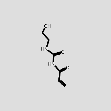 C=CC(=O)NC(=O)NCCO